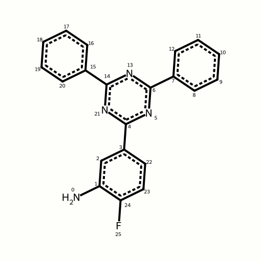 Nc1cc(-c2nc(-c3ccccc3)nc(-c3ccccc3)n2)ccc1F